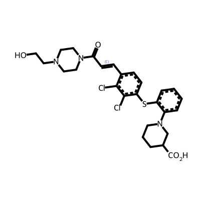 O=C(O)C1CCCN(c2ccccc2Sc2ccc(/C=C/C(=O)N3CCN(CCO)CC3)c(Cl)c2Cl)C1